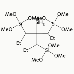 CCC(C([SiH3])(C(CC)[Si](OC)(OC)OC)C(CC)[Si](OC)(OC)OC)[Si](OC)(OC)OC